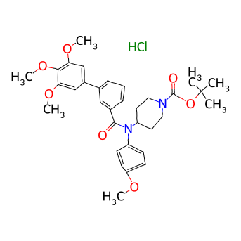 COc1ccc(N(C(=O)c2cccc(-c3cc(OC)c(OC)c(OC)c3)c2)C2CCN(C(=O)OC(C)(C)C)CC2)cc1.Cl